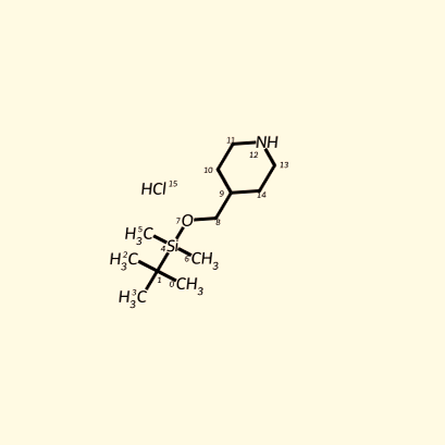 CC(C)(C)[Si](C)(C)OCC1CCNCC1.Cl